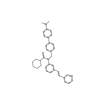 CN(C)c1ccc(-c2ccc(CN(C(=O)C3CCCCC3)c3cccc(C=Cc4cccnc4)c3)cc2)cc1